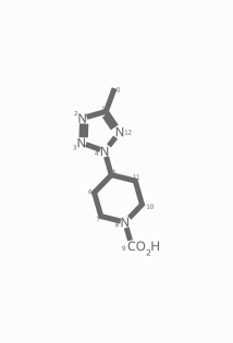 Cc1nnn(C2CCN(C(=O)O)CC2)n1